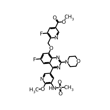 COC(=O)c1cnc(COc2cc(F)cc3c(-c4cnc(OC)c(NS(C)(=O)=O)c4)nc(N4CCOCC4)nc23)c(F)c1